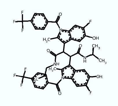 CCCNC(=O)C(c1c(C)n(C(=O)c2ccc(C(F)(F)F)cc2)c2cc(F)c(O)cc12)C(C(=O)NC(C)C)c1c(C)n(C(=O)c2ccc(C(F)(F)F)cc2)c2cc(F)c(O)cc12